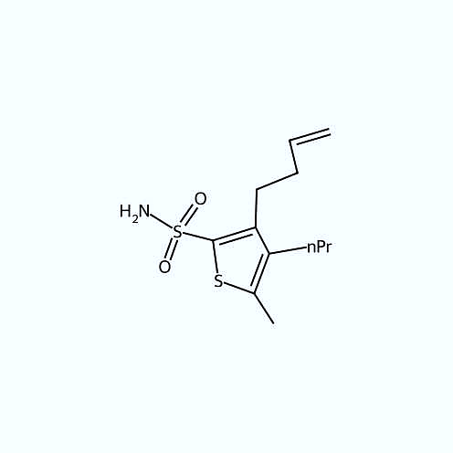 C=CCCc1c(S(N)(=O)=O)sc(C)c1CCC